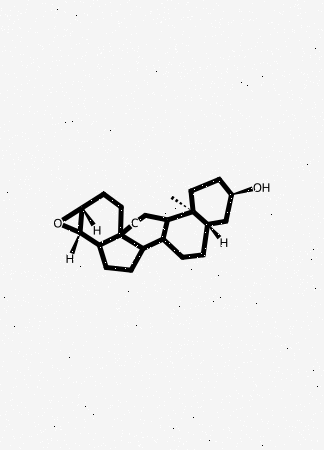 C[C@]12CC[C@@H](O)C[C@@H]1CCC1C3CCC4[C@@H]5O[C@@H]5CCC34CCC12